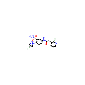 NS(=O)(=O)c1cc(NC(=O)Cc2cccnc2Cl)ccc1-n1cc(F)cn1